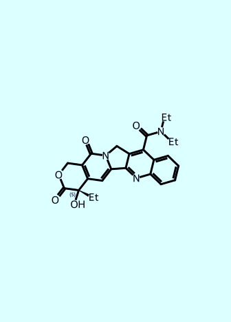 CCN(CC)C(=O)c1c2c(nc3ccccc13)-c1cc3c(c(=O)n1C2)COC(=O)[C@]3(O)CC